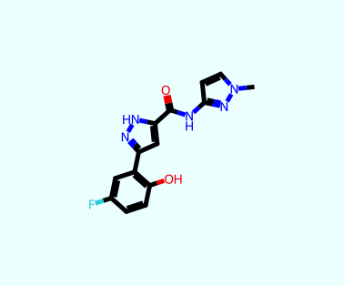 Cn1ccc(NC(=O)c2cc(-c3cc(F)ccc3O)n[nH]2)n1